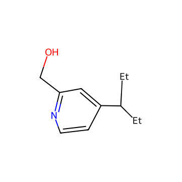 CCC(CC)c1ccnc(CO)c1